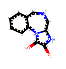 O=c1[nH]c2cncc3ccccc3n-2c1=O